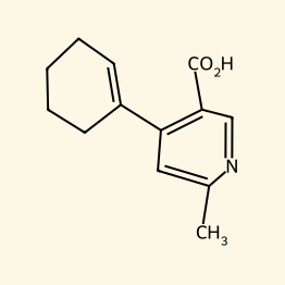 Cc1cc(C2=CCCCC2)c(C(=O)O)cn1